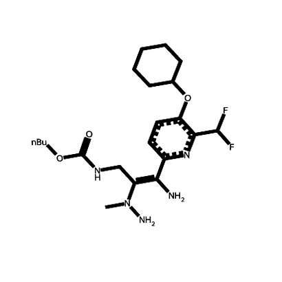 CCCCOC(=O)NC/C(=C(/N)c1ccc(OC2CCCCC2)c(C(F)F)n1)N(C)N